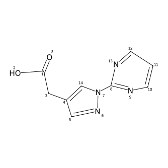 O=C(O)Cc1cnn(-c2ncccn2)c1